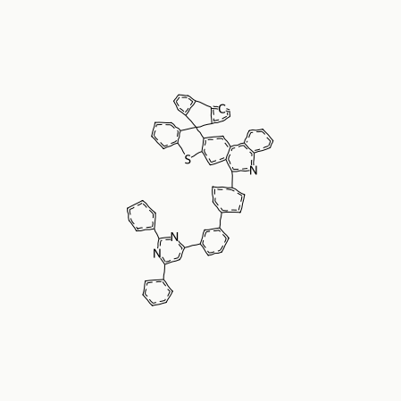 c1ccc(-c2cc(-c3cccc(-c4ccc(-c5nc6ccccc6c6cc7c(cc56)Sc5ccccc5C75c6ccccc6-c6ccccc65)cc4)c3)nc(-c3ccccc3)n2)cc1